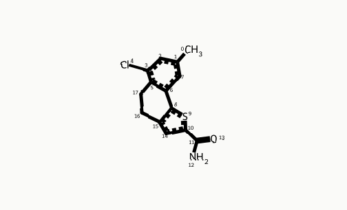 Cc1cc(Cl)c2c(c1)-c1sc(C(N)=O)cc1CC2